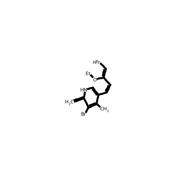 C=C1NC=C(/C=C\C(=C\CCC)OCC)C(C)=C1Br